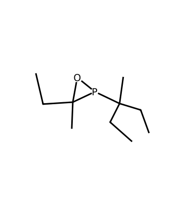 CCC(C)(CC)P1OC1(C)CC